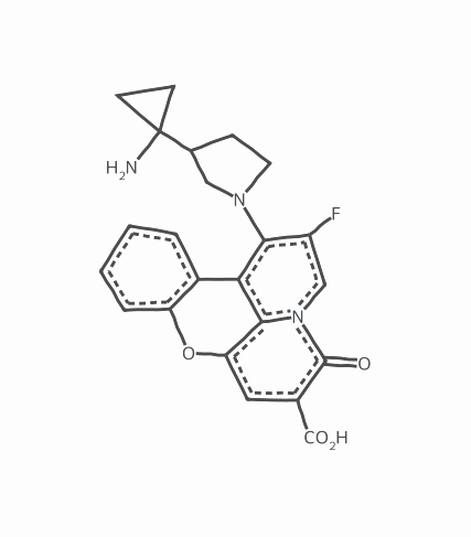 NC1(C2CCN(c3c(F)cn4c(=O)c(C(=O)O)cc5c4c3-c3ccccc3O5)C2)CC1